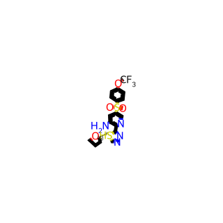 Nc1cc(S(=O)(=O)c2ccc(OC(F)(F)F)cc2)cnc1C1=NN=C[SH]1C[C@@H]1CCCO1